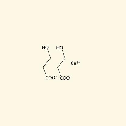 O=C([O-])CCO.O=C([O-])CCO.[Ca+2]